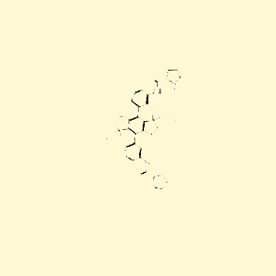 CN1CCC[C@H]1C(=O)Nc1cncc(-c2c3c(c(-c4cncc(NC(=O)[C@@H]5CCCN5)c4)c4c2C(C)(C)CC4)C(C)(C)CC3)c1